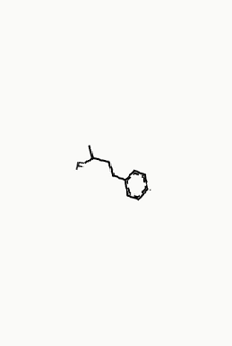 CC(F)CCc1cc[c]cc1